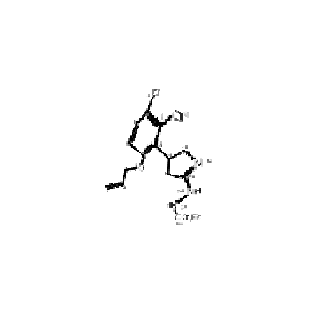 C=CCOc1ccc(Cl)c(Cl)c1C1CN=C(NNC(=O)OCC)C1